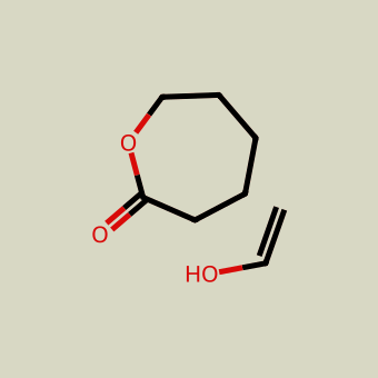 C=CO.O=C1CCCCCO1